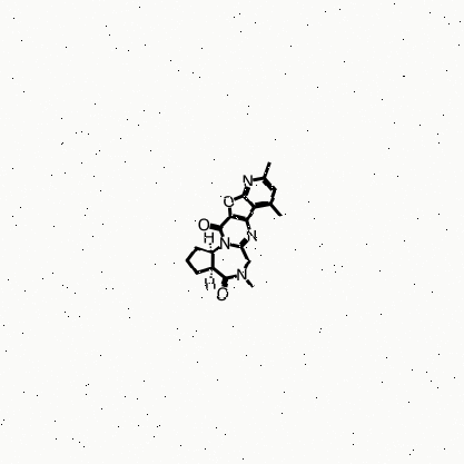 Cc1cc(C)c2c(n1)oc1c(=O)n3c(nc12)CN(C)C(=O)[C@H]1CCC[C@H]13